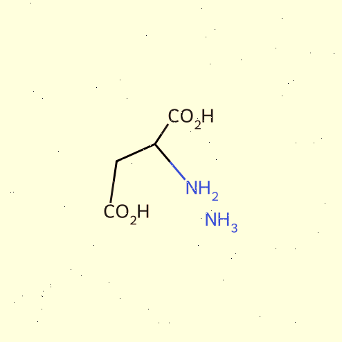 N.NC(CC(=O)O)C(=O)O